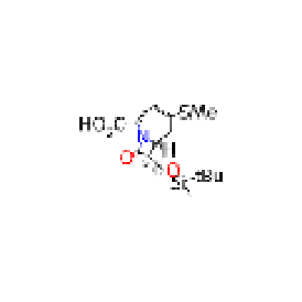 CSC1=CC=C(C(=O)O)N2C(=O)[C@H]([C@@H](C)O[Si](C)(C)C(C)(C)C)[C@H]2C1